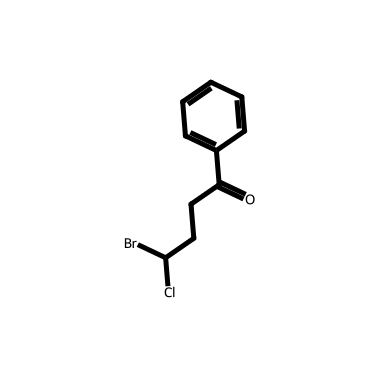 O=C(CCC(Cl)Br)c1ccccc1